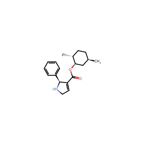 CC(C)[C@@H]1CC[C@@H](C)C[C@H]1OC(=O)C1=CCN[C@H]1c1ccccc1